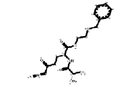 CO[C@@H](C)C(=O)N[C@@H](CCC(=O)C=[N+]=[N-])C(=O)OCCNCc1ccccc1